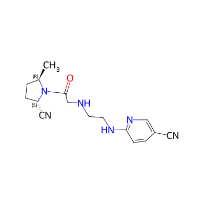 C[C@@H]1CC[C@@H](C#N)N1C(=O)CNCCNc1ccc(C#N)cn1